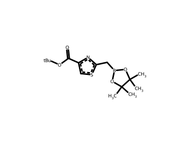 CC(C)(C)OC(=O)c1csc(CB2OC(C)(C)C(C)(C)O2)n1